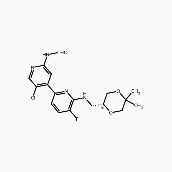 CC1(C)CO[C@H](CNc2nc(-c3cc(NC=O)ncc3Cl)ccc2F)CO1